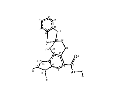 CCOC(=O)c1cc2c(c3c1CCC1(Cc4ccccc4C1)N3)NC(C)N2C